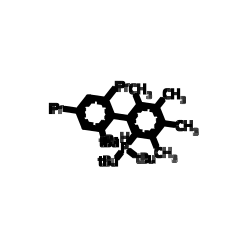 Cc1c(C)c(C)c([PH](C(C)(C)C)(C(C)(C)C)C(C)(C)C)c(-c2c(C(C)C)cc(C(C)C)cc2C(C)C)c1C